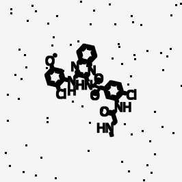 CNCC(=O)Nc1cc(S(=O)(=O)Nc2nc3ccccc3nc2Nc2cc(OC)ccc2Cl)ccc1Cl